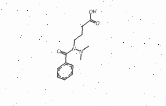 CN(C)N(CCCC(=O)O)C(=O)c1ccccc1